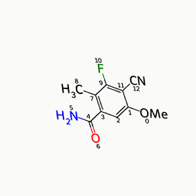 COc1cc(C(N)=O)c(C)c(F)c1C#N